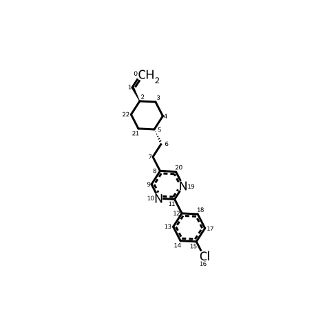 C=C[C@H]1CC[C@H](CCc2cnc(-c3ccc(Cl)cc3)nc2)CC1